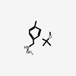 COC(C)(C)C.Cc1ccc(CNN)cc1